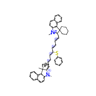 CCCC1(C)\C(=C/C=C/C=C(/C=C/C=C/C2=[N+](C)c3ccc4ccccc4c3C23CCCCC3)Sc2ccccc2)N(C)c2ccc3ccccc3c21